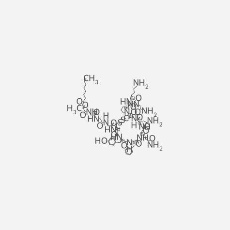 CCCCCCCC(=O)OC(C)C(=O)NCC(=O)NCC(=O)NCC(=O)N[C@H]1CSSC[C@@H](C(=O)N2CCC[C@H]2C(=O)N[C@@H](CCCCN)C(=O)NCC(N)=O)NC(=O)[C@H](CC(N)=O)NC(=O)[C@H](CCC(N)=O)NC(=O)[C@H](Cc2ccccc2)NC(=O)[C@@H](Cc2ccc(O)cc2)NC1=O